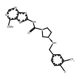 COc1ncnc2sc(NC(=O)N3CC[C@@H](NCc4ccc(F)c(C(F)(F)F)c4)C3)nc12